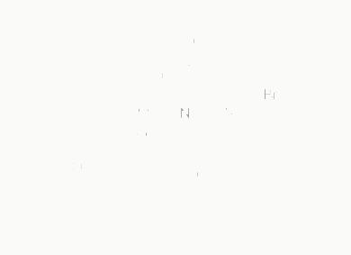 COc1ccccc1C(Cn1c(=O)oc(=O)c2c(C)c(Br)sc21)OC1CCOCC1